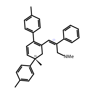 CNC/C(=C\C1=C(c2ccc(C)cc2)C=C[C@@](C)(c2ccc(C)cc2)C1)c1ccccc1